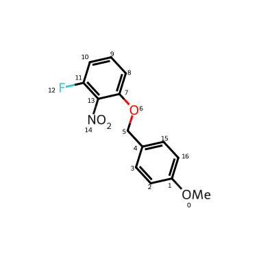 COc1ccc(COc2cccc(F)c2[N+](=O)[O-])cc1